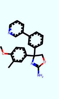 COc1ccc(C2(c3cccc(-c4cccnc4)c3)COC(N)=N2)cc1C